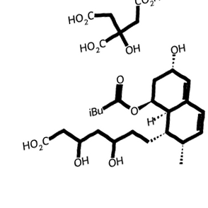 CCC(C)C(=O)O[C@H]1C[C@H](O)C=C2C=C[C@H](C)[C@H](CCC(O)CC(O)CC(=O)O)[C@H]21.O=C(O)CC(O)(CC(=O)O)C(=O)O